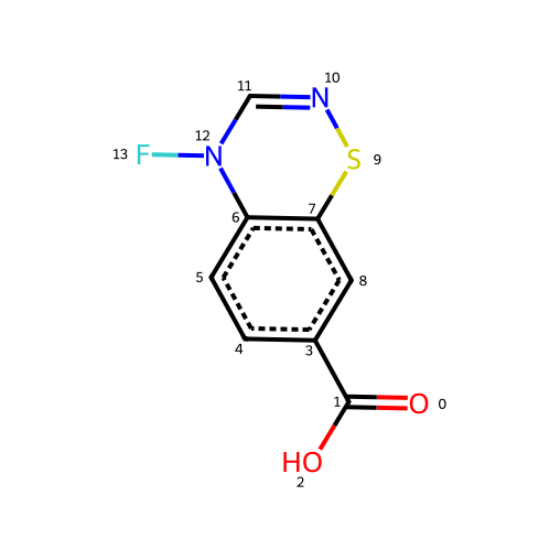 O=C(O)c1ccc2c(c1)SN=CN2F